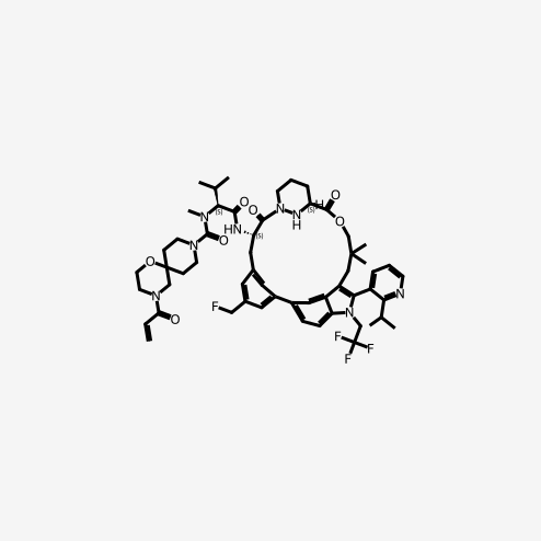 C=CC(=O)N1CCOC2(CCN(C(=O)N(C)[C@H](C(=O)N[C@H]3Cc4cc(CF)cc(c4)-c4ccc5c(c4)c(c(-c4cccnc4C(C)C)n5CC(F)(F)F)CC(C)(C)COC(=O)[C@@H]4CCCN(N4)C3=O)C(C)C)CC2)C1